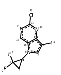 FC1(F)CC1n1cc(I)c2nc(Cl)ncc21